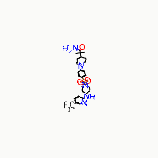 CC(C)(C(N)=O)C1CCN(c2ccc(S(=O)(=O)N3CCC(Nc4ccc(C(F)(F)F)cn4)CC3)cc2)CC1